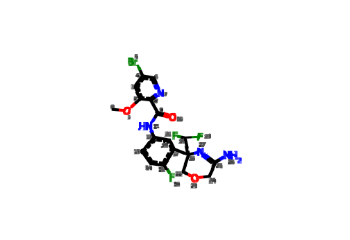 COc1cc(Br)cnc1C(=O)Nc1ccc(F)c(C2(C(F)F)COCC(N)=N2)c1